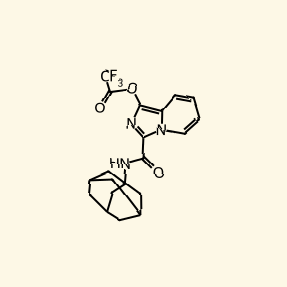 O=C(NC12CC3CC(CC(C3)C1)C2)c1nc(OC(=O)C(F)(F)F)c2ccccn12